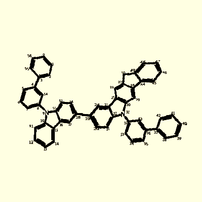 c1ccc(-c2cccc(-n3c4ccccc4c4cc(-c5ccc6c(c5)c5cc7c(cc5n6-c5cccc(-c6ccccc6)c5)-c5ccccc5C7)ccc43)c2)cc1